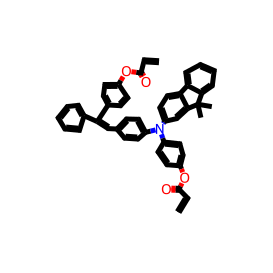 C=CC(=O)Oc1ccc(C(=Cc2ccc(N(c3ccc(OC(=O)C=C)cc3)c3ccc4c(c3)C(C)(C)c3ccccc3-4)cc2)c2ccccc2)cc1